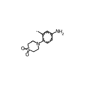 [CH2]c1cc(N)ccc1N1CCS(=O)(=O)CC1